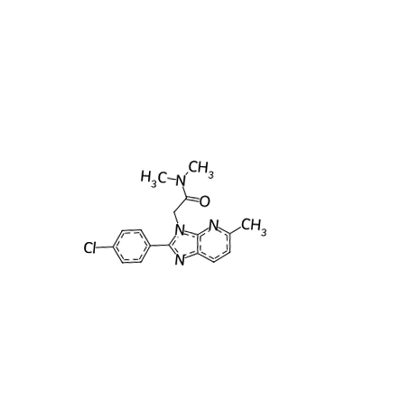 Cc1ccc2nc(-c3ccc(Cl)cc3)n(CC(=O)N(C)C)c2n1